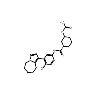 CC(=O)NC1CCC[C@@H](C(=O)Nc2cc(-c3cnn4c3CCCCC4)c(Cl)cn2)C1